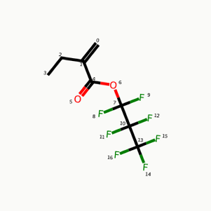 C=C(CC)C(=O)OC(F)(F)C(F)(F)C(F)(F)F